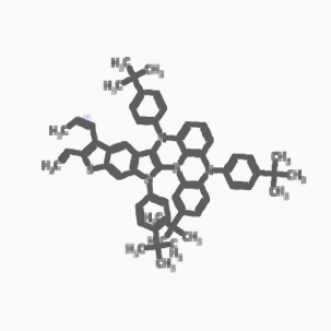 C=Cc1sc2cc3c(cc2c1/C=C\C)c1c(n3-c2ccc(C(C)(C)C)cc2)B2c3cc(C(C)(C)C)ccc3N(c3ccc(C(C)(C)C)cc3)c3cccc(c32)N1c1ccc(C(C)(C)C)cc1